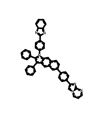 C1=CC2=NC(c3ccc(-n4c(-c5ccccc5)c(-c5ccccc5)c5cc6cc(-c7ccc(-c8cn9cccnc9n8)cc7)ccc6cc54)cc3)=NC2C=C1